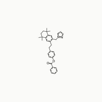 CC1(C)CCC(C)(C)c2cc(Cn3cccn3)c(CCc3ccc(OC(=O)c4ccccc4)cc3)cc21